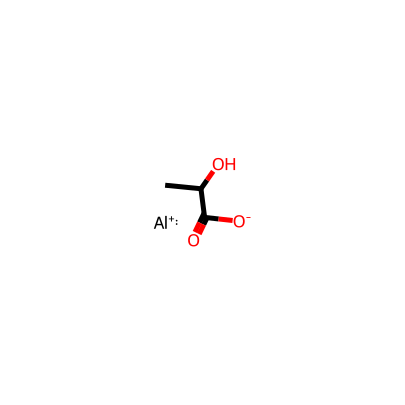 CC(O)C(=O)[O-].[Al+]